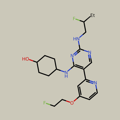 CCC(F)CNc1ncc(-c2cc(OCCF)ccn2)c(NC2CCC(O)CC2)n1